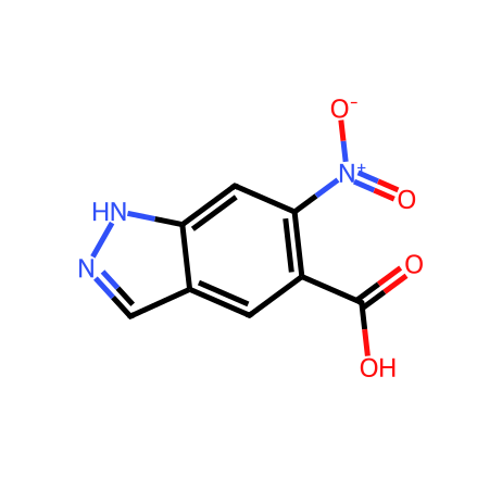 O=C(O)c1cc2cn[nH]c2cc1[N+](=O)[O-]